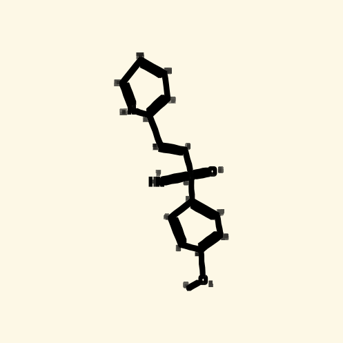 COc1ccc(S(=N)(=O)/C=C/c2ccccn2)cc1